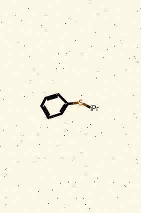 CC(C)Sc1c[c]ccc1